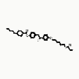 C=CC(=O)OCCCCCCOc1ccc(C(=O)Cc2ccc(OC(=O)C3CCC(CCCCC)CC3)cc2)cc1